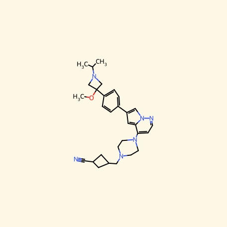 COC1(c2ccc(-c3cc4c(N5CCN(CC6CC(C#N)C6)CC5)ccnn4c3)cc2)CN(C(C)C)C1